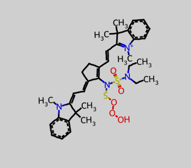 CCN(CC)S(=O)(=O)N(SOOO)C1=C(/C=C/C2=[N+](C)c3ccccc3C2(C)C)CC/C1=C\C=C1\N(C)c2ccccc2C1(C)C